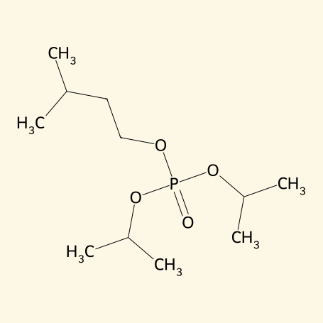 CC(C)CCOP(=O)(OC(C)C)OC(C)C